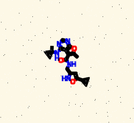 Cc1oc2ncnc(NC3(C)CC3)c2c1C(=O)NCC1C=C(C2CC2)ON1